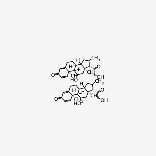 C[C@@H]1C[C@H]2[C@@H]3CCC4=CC(=O)C=C[C@]4(C)[C@@]3(F)C(O)C[C@]2(C)[C@H]1C(=O)CO.C[C@@H]1C[C@H]2[C@@H]3CCC4=CC(=O)C=C[C@]4(C)[C@@]3(F)C(O)C[C@]2(C)[C@H]1C(=O)CO